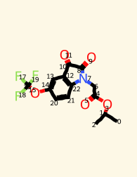 CC(C)OC(=O)CN1C(=O)C(=O)c2cc(OC(F)(F)F)ccc21